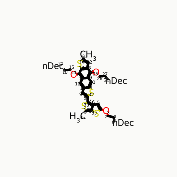 CCCCCCCCCCCCOc1cc2c(-c3cc4cc5c(OCCCCCCCCCCCC)c6sc(C)cc6c(OCCCCCCCCCCCC)c5cc4s3)sc(C)c2s1